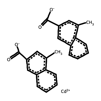 Cc1cc(C(=O)[O-])cc2ccccc12.Cc1cc(C(=O)[O-])cc2ccccc12.[Cd+2]